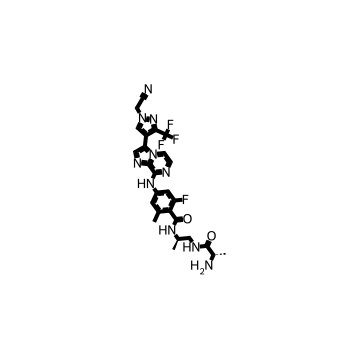 Cc1cc(Nc2nccn3c(-c4cn(CC#N)nc4C(F)(F)F)cnc23)cc(F)c1C(=O)N[C@H](C)CNC(=O)[C@H](C)N